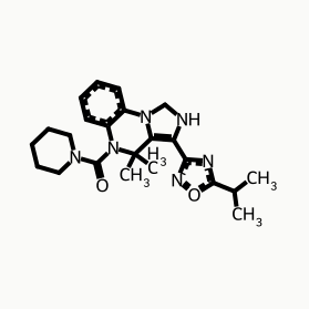 CC(C)c1nc(C2=C3N(CN2)c2ccccc2N(C(=O)N2CCCCC2)C3(C)C)no1